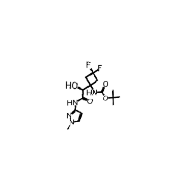 Cn1ccc(NC(=O)C(O)C2(NC(=O)OC(C)(C)C)CC(F)(F)C2)n1